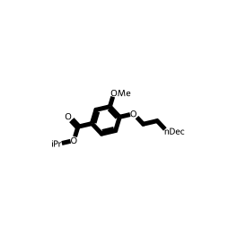 CCCCCCCCCCCCOc1ccc(C(=O)OC(C)C)cc1OC